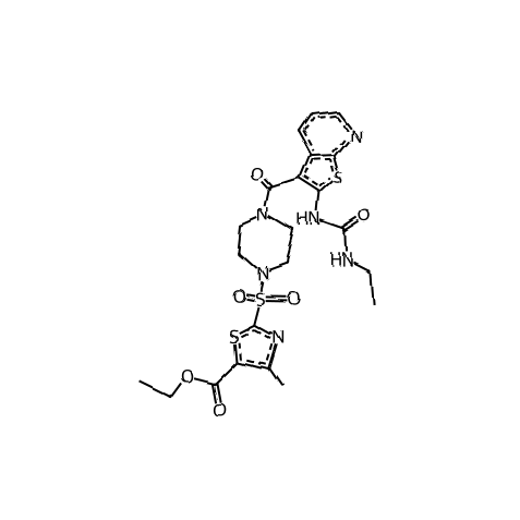 CCNC(=O)Nc1sc2ncccc2c1C(=O)N1CCN(S(=O)(=O)c2nc(C)c(C(=O)OCC)s2)CC1